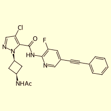 CC(=O)N[C@H]1C[C@@H](n2ncc(Cl)c2C(=O)Nc2ncc(C#Cc3ccccc3)cc2F)C1